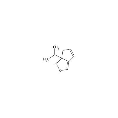 CC(C)C12CC=CC1=CSS2